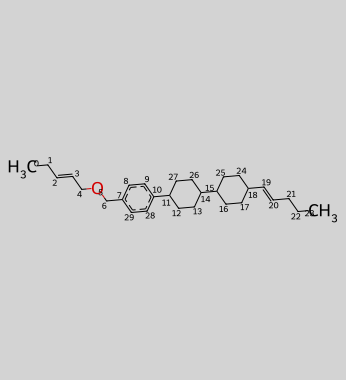 CCC=CCOCc1ccc(C2CCC(C3CCC(/C=C/CCC)CC3)CC2)cc1